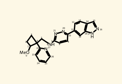 COC1CCC1(CNc1ccc(-c2ccc3cn[nH]c3c2)nn1)c1ccccn1